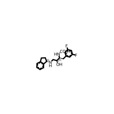 O=C(O)N[C@@H](Cc1cc(F)cc(F)c1)[C@@H](O)CN[C@H]1CCc2ccccc21